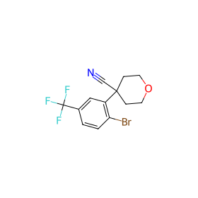 N#CC1(c2cc(C(F)(F)F)ccc2Br)CCOCC1